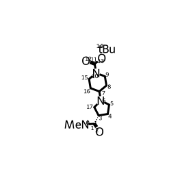 CNC(=O)[C@H]1CCN(C2CCN(C(=O)OC(C)(C)C)CC2)C1